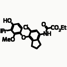 CCOC(=O)C(=O)Nc1cc(Cl)c(Oc2ccc(O)c(C(C)C)c2OC)c2c1CCC2